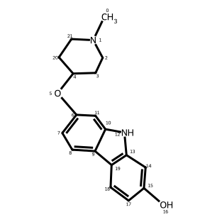 CN1CCC(Oc2ccc3c(c2)[nH]c2cc(O)ccc23)CC1